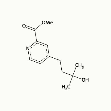 COC(=O)c1cc(CCC(C)(C)O)ccn1